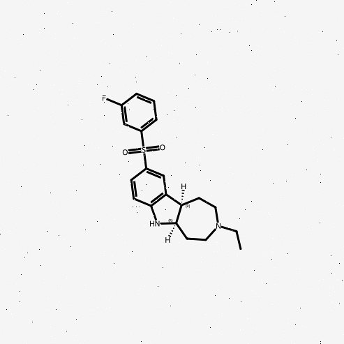 CCN1CC[C@@H]2c3cc(S(=O)(=O)c4cccc(F)c4)ccc3N[C@@H]2CC1